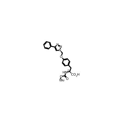 CC(C)(C)OC(=O)N[C@@H](Cc1ccc(OCn2cc(-c3ccccc3)nn2)cc1)C(=O)O